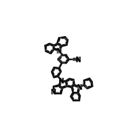 N#Cc1cc(-c2cccc(-n3c4cnccc4c4c5c6ccccc6n(-c6ccccc6)c5ccc43)c2)cc(-n2c3ccccc3c3ccccc32)c1